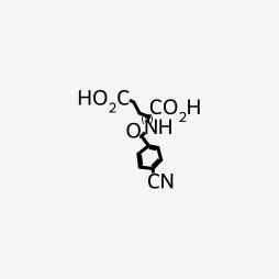 N#Cc1ccc(C(=O)N[C@@H](CCC(=O)O)C(=O)O)cc1